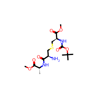 COC(=O)[C@H](CSC[C@@H](N)C(=O)N[C@H](C)C(=O)OC)NC(=O)OC(C)(C)C